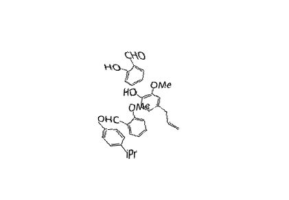 C=CCc1ccc(O)c(OC)c1.COc1ccccc1C=O.Cc1ccc(C(C)C)cc1.O=Cc1ccccc1O